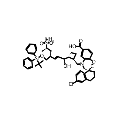 C[C@H](C[C@@H](/C=C/[C@H](O)[C@@H]1CC[C@H]1CN1C[C@@]2(CCCc3cc(Cl)ccc32)COc2ccc(C(=O)O)cc21)CO[Si](c1ccccc1)(c1ccccc1)C(C)(C)C)S(N)(=O)=O